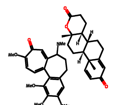 CNC1CCc2cc(OC)c(OC)c(OC)c2-c2ccc(OC)c(=O)cc21.C[C@]12C=CC(=O)C=C1CC[C@@H]1[C@@H]2CC[C@]2(C)OC(=O)CC[C@@H]12